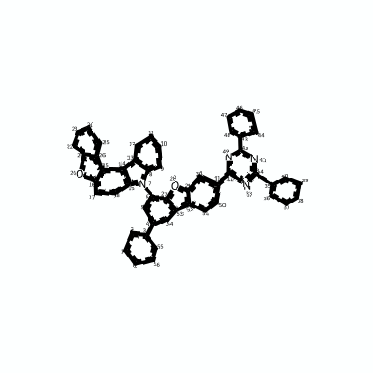 c1ccc(-c2cc(-n3c4ccccc4c4c5c(ccc43)oc3ccccc35)c3oc4cc(-c5nc(-c6ccccc6)nc(-c6ccccc6)n5)ccc4c3c2)cc1